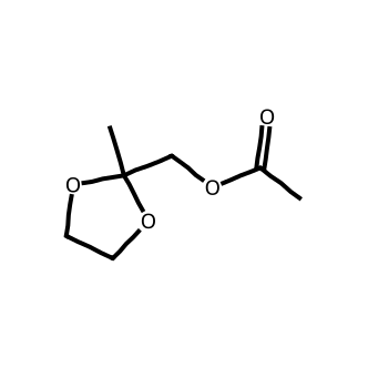 CC(=O)OCC1(C)OCCO1